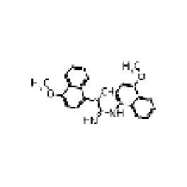 COc1ccc(NC(=N)N(C)c2ccc(OC)c3ccccc23)c2ccccc12